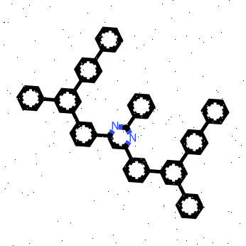 c1ccc(-c2ccc(-c3cc(-c4ccccc4)cc(-c4cccc(-c5cc(-c6cccc(-c7cc(-c8ccccc8)cc(-c8ccc(-c9ccccc9)cc8)c7)c6)nc(-c6ccccc6)n5)c4)c3)cc2)cc1